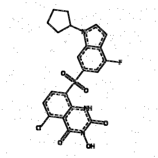 O=c1[nH]c2c(S(=O)(=O)c3cc(F)c4ccn(C5CCCC5)c4c3)ccc(Cl)c2c(=O)n1O